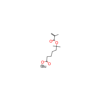 C=C(C)C(=O)OC(C)(C)CCCCC(=O)OC(C)(C)C